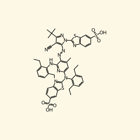 CCc1cccc(CC)c1Nc1nc(N(c2nc3ccc(S(=O)(=O)O)cc3s2)c2c(CC)cccc2CC)cc(C)c1N=Nc1c(C#N)c(C(C)(C)C)nn1-c1nc2ccc(S(=O)(=O)O)cc2s1